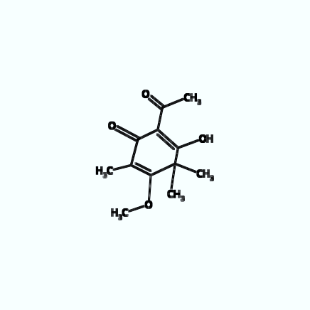 COC1=C(C)C(=O)C(C(C)=O)=C(O)C1(C)C